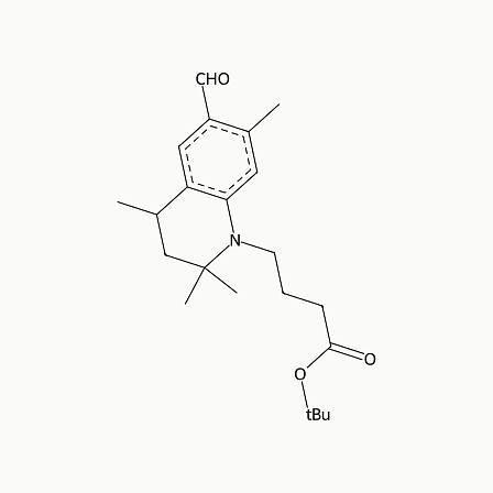 Cc1cc2c(cc1C=O)C(C)CC(C)(C)N2CCCC(=O)OC(C)(C)C